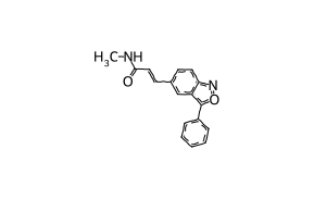 CNC(=O)/C=C/c1ccc2noc(-c3ccccc3)c2c1